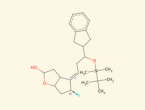 CC(C)(C)[Si](C)(C)OC(C/C=C1\C2CC(O)OC2C[C@@H]1F)C1Cc2ccccc2C1